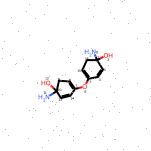 NC1(O)C=CC(OC2=CCC(N)(O)C=C2)=CC1